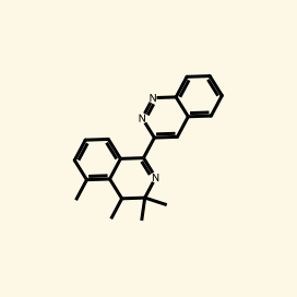 Cc1cccc2c1C(C)C(C)(C)N=C2c1cc2ccccc2nn1